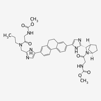 CCCN(Cc1ncc(-c2ccc3c(c2)CCc2cc(-c4cnc([C@@H]5[C@H]6CC[C@H](C6)N5C(=O)CNC(=O)OC)[nH]4)ccc2-3)[nH]1)C(=O)CNC(=O)OC